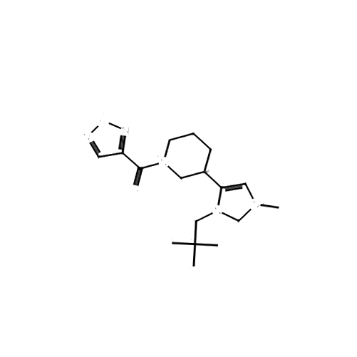 CN1C=C(C2CCCN(C(=O)c3cnon3)C2)N(CC(C)(C)C)C1